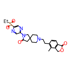 CCS(=O)(=O)c1cnc(N2CC3(CCN(CCc4ccc5c(c4C)COC5=O)CC3)CC2=O)cn1